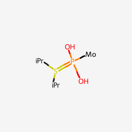 CC(C)S(C(C)C)=[P](O)(O)[Mo]